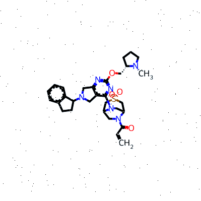 C=CC(=O)N1CC2CS(=O)(=O)CC1CN2c1nc(OC[C@@H]2CCCN2C)nc2c1CN(C1CCc3ccccc31)C2